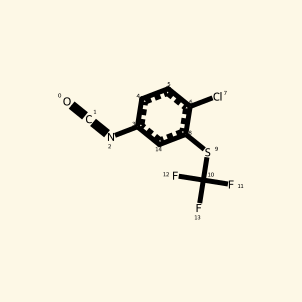 O=C=Nc1ccc(Cl)c(SC(F)(F)F)c1